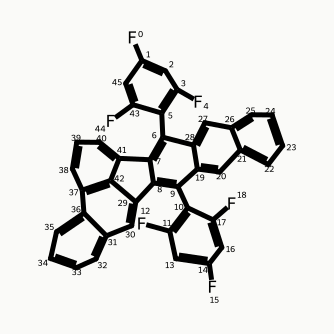 Fc1cc(F)c(-c2c3c(c(-c4c(F)cc(F)cc4F)c4cc5ccccc5cc24)-c2cc4ccccc4c4cccc-3c24)c(F)c1